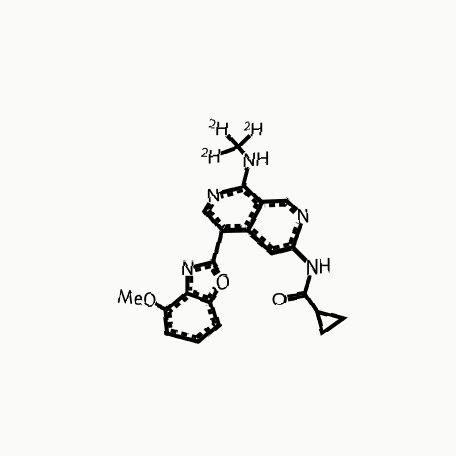 [2H]C([2H])([2H])Nc1ncc(-c2nc3c(OC)cccc3o2)c2cc(NC(=O)C3CC3)ncc12